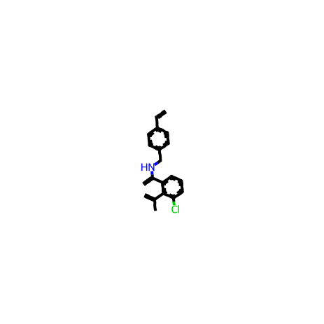 C=Cc1ccc(CNC(=C)c2cccc(Cl)c2C(=C)C)cc1